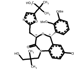 COc1cccc([C@H]2O[C@H](Cc3ncc(C(C)(C)C(=O)O)o3)C(=O)N(CC(C)(C)CO)c3ccc(Cl)cc32)c1OC